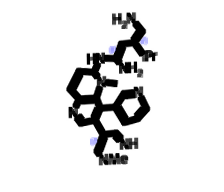 CN/C=C(\C=N)c1cnc2c(c1-c1cccnc1)N(C)C(N/C(N)=C/C(=C\N)C(C)C)C=C2